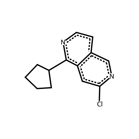 Clc1cc2c(C3CCCC3)nccc2cn1